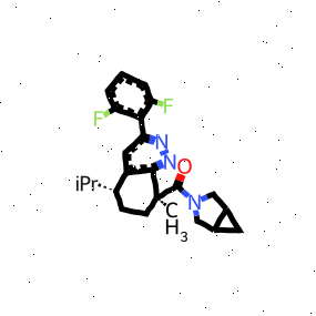 CC(C)[C@H]1CC[C@](C)(C(=O)N2CC3CC3C2)c2nnc(-c3c(F)cccc3F)cc21